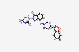 O=C1CCC(N2Cc3c(CN4CCC(c5noc6cc(F)ccc56)CC4)cccc3C2=O)C(=O)N1